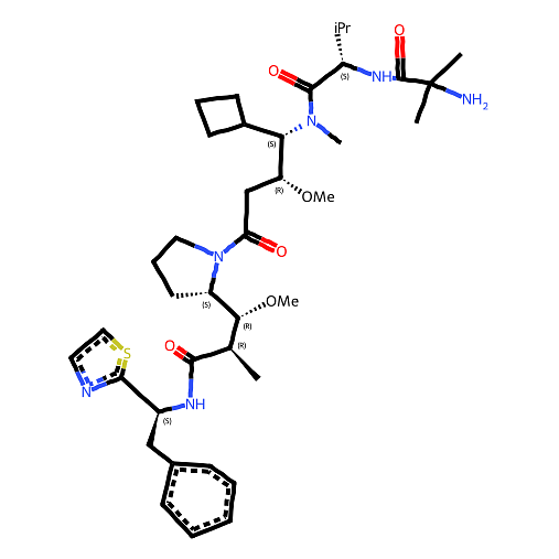 CO[C@H]([C@@H](C)C(=O)N[C@@H](Cc1ccccc1)c1nccs1)[C@@H]1CCCN1C(=O)C[C@@H](OC)[C@H](C1CCC1)N(C)C(=O)[C@@H](NC(=O)C(C)(C)N)C(C)C